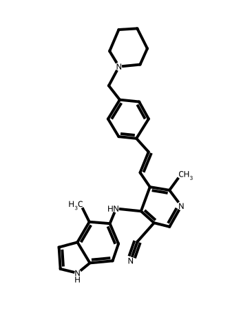 Cc1ncc(C#N)c(Nc2ccc3[nH]ccc3c2C)c1C=Cc1ccc(CN2CCCCC2)cc1